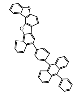 c1ccc(-c2c3ccccc3c(-c3ccc(-c4cc5c6ccc7sc8ccccc8c7c6oc5c5ccccc45)cc3)c3ccccc23)cc1